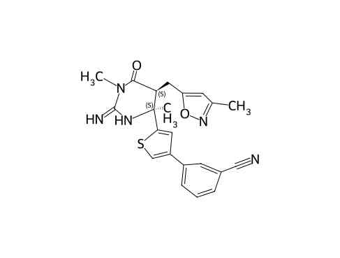 Cc1cc(C[C@@H]2C(=O)N(C)C(=N)N[C@]2(C)c2cc(-c3cccc(C#N)c3)cs2)on1